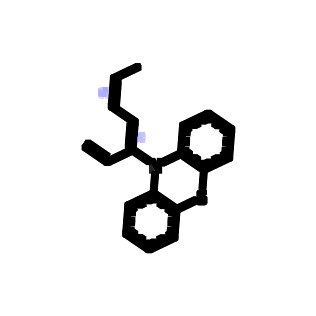 C=C/C(=C\C=C/C)N1c2ccccc2Sc2ccccc21